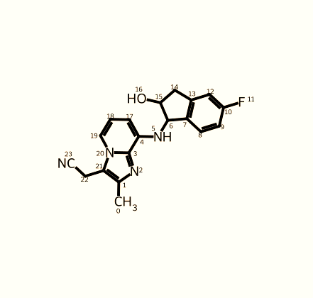 Cc1nc2c(NC3c4ccc(F)cc4CC3O)cccn2c1CC#N